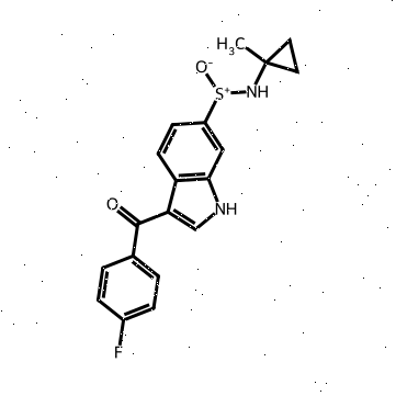 CC1(N[S+]([O-])c2ccc3c(C(=O)c4ccc(F)cc4)c[nH]c3c2)CC1